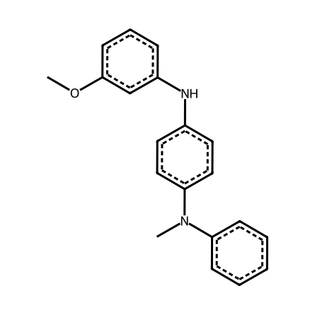 COc1cccc(Nc2ccc(N(C)c3ccccc3)cc2)c1